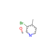 C=O.Cc1ccncc1Br